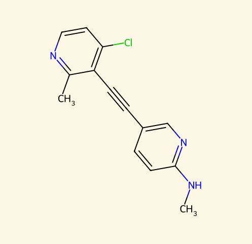 CNc1ccc(C#Cc2c(Cl)ccnc2C)cn1